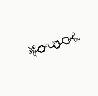 CS(=O)(=O)Nc1ccc(OCc2ccc(C3CCN(C(=O)O)CC3)cn2)cc1